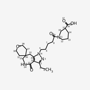 CCc1nn(CCCCC(=O)N2CCCC(C(=O)O)C2)c2c1C(=O)NCC1(CCOCC1)C2